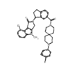 Cn1c2c(c3c(Cl)cccc31)C(=O)N(C1CCc3ccc(C(=O)N4CCC5(CC4)CCN(c4ccc(F)cc4)CC5)cc31)C2